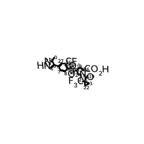 Cc1n[nH]cc1-c1ccc(S(=O)(=O)[C@@H]2C[C@@H](C(=O)O)N(C(=O)C3(C(F)(F)F)CC3)C2)c(C(F)(F)F)c1